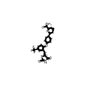 NC(=O)c1cccc(-c2ccc(Oc3ccc(C(F)(F)F)cc3/C=C3\SC(=O)NC3=O)cc2)n1